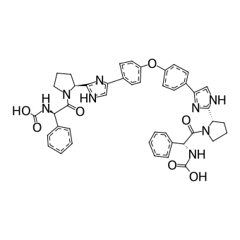 O=C(O)N[C@@H](C(=O)N1CCC[C@H]1c1nc(-c2ccc(Oc3ccc(-c4c[nH]c([C@@H]5CCCN5C(=O)[C@H](NC(=O)O)c5ccccc5)n4)cc3)cc2)c[nH]1)c1ccccc1